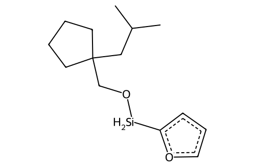 CC(C)CC1(CO[SiH2]c2ccco2)CCCC1